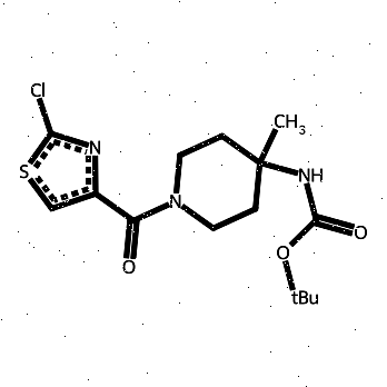 CC1(NC(=O)OC(C)(C)C)CCN(C(=O)c2csc(Cl)n2)CC1